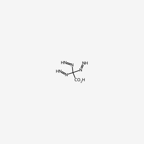 N=NC(N=N)(N=N)C(=O)O